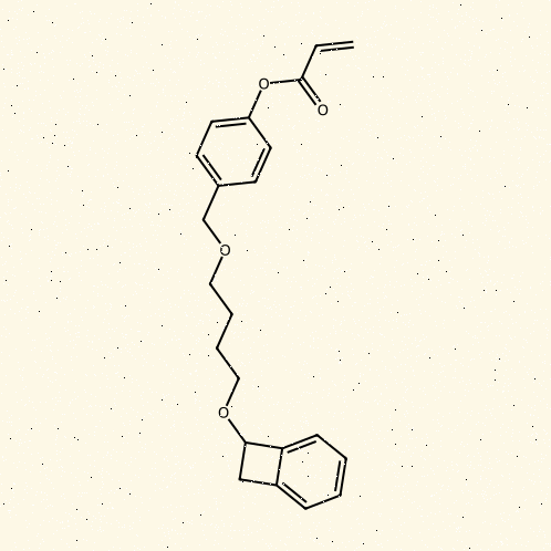 C=CC(=O)Oc1ccc(COCCCCOC2Cc3ccccc32)cc1